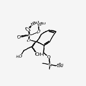 CC(C)(C)OP(=O)(OC(C)(C)C)OC1(C(O)CO)CC=CC=C1CO[Si](C)(C)C(C)(C)C